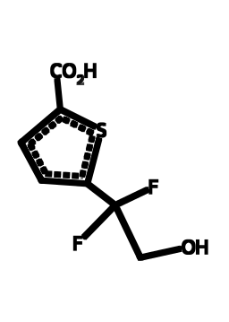 O=C(O)c1ccc(C(F)(F)CO)s1